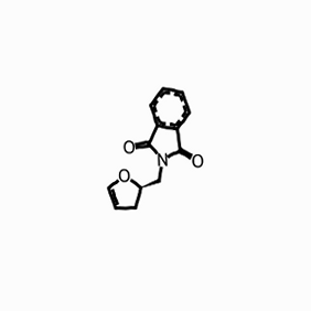 O=C1c2ccccc2C(=O)N1C[C@H]1CC=CO1